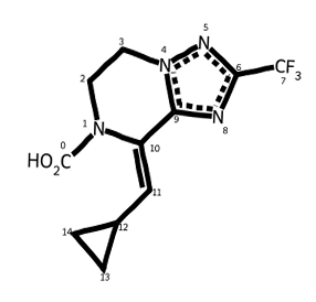 O=C(O)N1CCn2nc(C(F)(F)F)nc2C1=CC1CC1